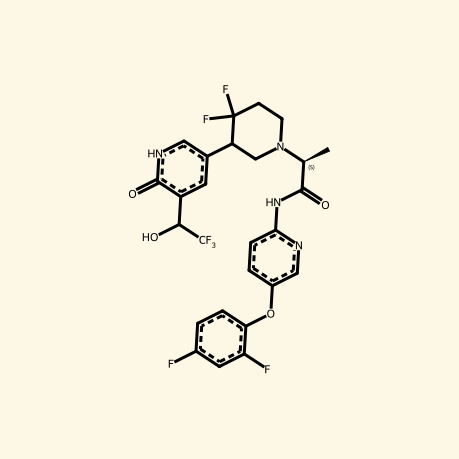 C[C@@H](C(=O)Nc1ccc(Oc2ccc(F)cc2F)cn1)N1CCC(F)(F)C(c2c[nH]c(=O)c(C(O)C(F)(F)F)c2)C1